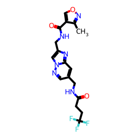 Cc1nocc1C(=O)NCc1cn2ncc(CNC(=O)CCC(F)(F)F)cc2n1